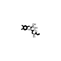 C=CC(=O)N(CC)CC(=O)N[C@@H](Cc1ccc(C)c(C)c1)B(O)O